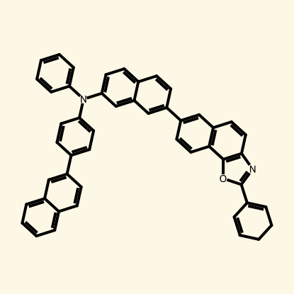 C1=CC(c2nc3ccc4cc(-c5ccc6ccc(N(c7ccccc7)c7ccc(-c8ccc9ccccc9c8)cc7)cc6c5)ccc4c3o2)=CCC1